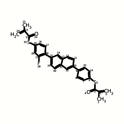 C=C(C)C(=O)Sc1ccc(-c2ccc3cc(-c4ccc(SC(=O)C(=C)C)cc4F)ccc3c2)cc1